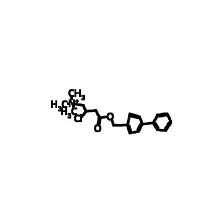 C[N+](C)(C)CC(Cl)CC(=O)OCc1ccc(-c2ccccc2)cc1